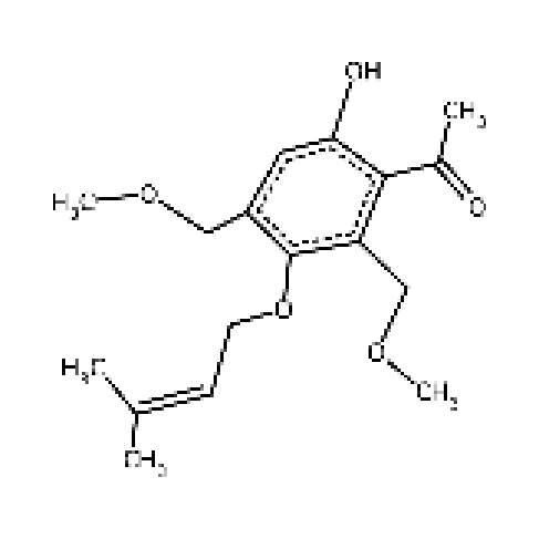 COCc1cc(O)c(C(C)=O)c(COC)c1OCC=C(C)C